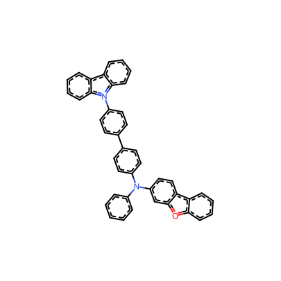 c1ccc(N(c2ccc(-c3ccc(-n4c5ccccc5c5ccccc54)cc3)cc2)c2ccc3c(c2)oc2ccccc23)cc1